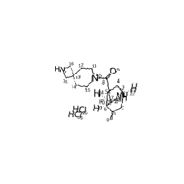 C=C1C[C@@H]2CC[C@H]1[C@@H](C(=O)N1CCC3(CC1)CNC3)N2.Cl.Cl